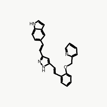 C(=Cc1cc(C=Cc2ccccc2OCc2ccccn2)[nH]n1)c1ccc2[nH]ccc2c1